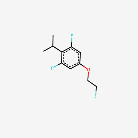 CC(C)c1c(F)cc(OCCF)cc1F